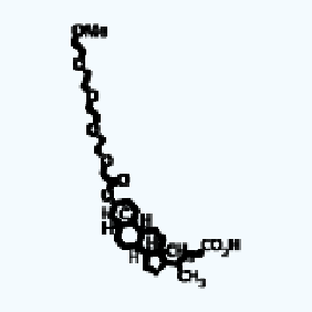 COCCOCCOCCOCCOCC(=O)O[C@H]1CC[C@@]2(C)[C@H](CC[C@@H]3[C@@H]2CC[C@]2(C)[C@@H]([C@H](C)CCC(=O)O)CC[C@@H]32)C1